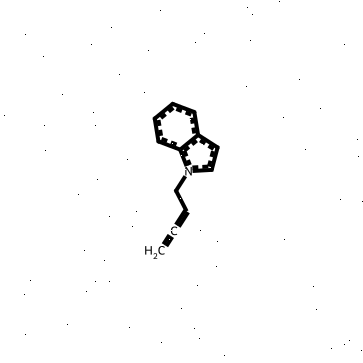 C=C=CCn1ccc2ccccc21